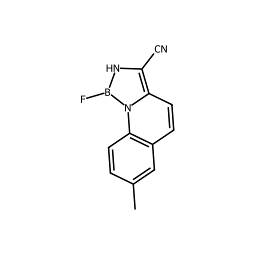 Cc1ccc2c(c1)C=CC1=C(C#N)NB(F)N12